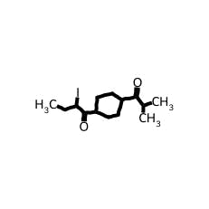 CCC(I)C(=O)C1CCC(C(=O)C(C)C)CC1